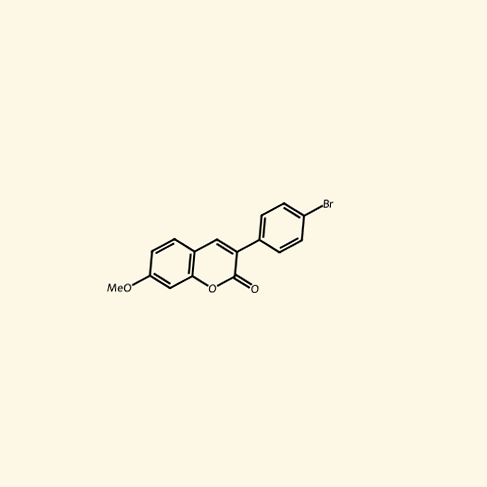 COc1ccc2cc(-c3ccc(Br)cc3)c(=O)oc2c1